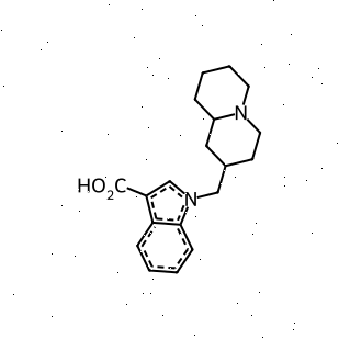 O=C(O)c1cn(CC2CCN3CCCCC3C2)c2ccccc12